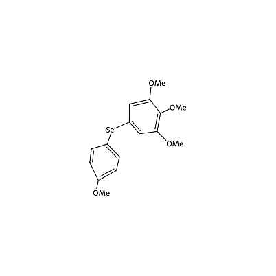 COc1ccc([Se]c2cc(OC)c(OC)c(OC)c2)cc1